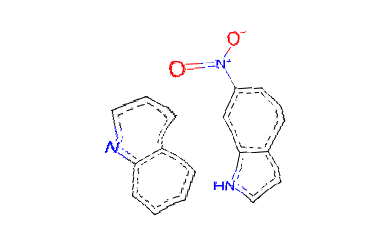 O=[N+]([O-])c1ccc2cc[nH]c2c1.c1ccc2ncccc2c1